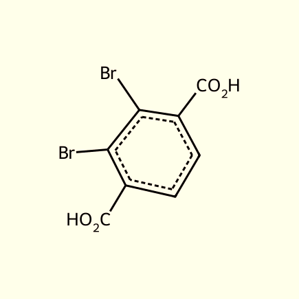 O=C(O)c1ccc(C(=O)O)c(Br)c1Br